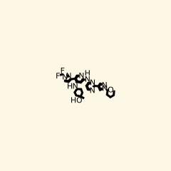 CC1(O)CCC(Nc2cc(Nc3ccnc(-c4cnn(C5CCCCO5)c4)n3)ncc2-c2ccn(C(F)F)n2)CC1